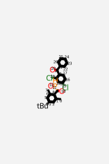 Cc1cc(C(C)(C)C)cc(C)c1C(=O)[PH](=O)c1c(Cl)ccc(C(=O)c2ccccc2)c1Cl